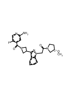 CO[C@H]1CCN(C(=O)Cn2nc(C3CN(C(=O)c4cc(N)ncc4F)C3)c3ccccc32)C1